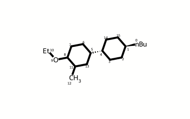 CCCC[C@H]1CC[C@H](C2CCC(OCC)C(C)C2)CC1